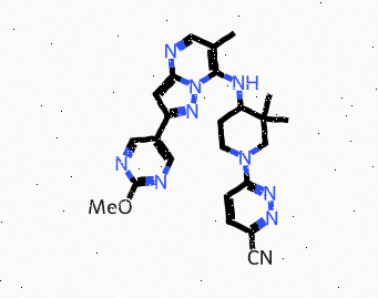 COc1ncc(-c2cc3ncc(C)c(NC4CCN(c5ccc(C#N)nn5)CC4(C)C)n3n2)cn1